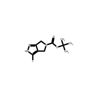 CC(C)(C)OC(=O)N1Cc2n[nH]c(I)c2C1